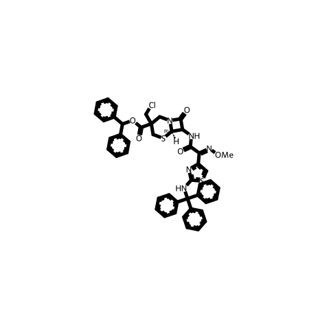 CON=C(C(=O)NC1C(=O)N2CC(CCl)(C(=O)OC(c3ccccc3)c3ccccc3)CS[C@H]12)c1csc(NC(c2ccccc2)(c2ccccc2)c2ccccc2)n1